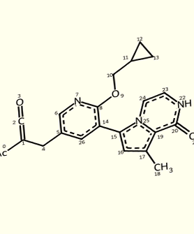 CC(=O)C(=C=O)Cc1cnc(OCC2CC2)c(-c2cc(C)c3c(=O)[nH]ccn23)c1